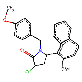 COc1ccc2ccccc2c1C1CC(Cl)C(=O)N1Cc1ccc(OC(F)(F)F)cc1